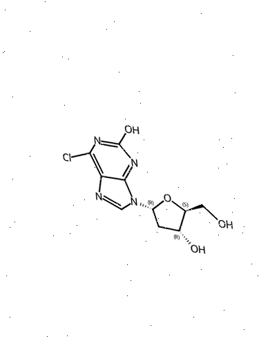 OC[C@@H]1O[C@@H](n2cnc3c(Cl)nc(O)nc32)C[C@H]1O